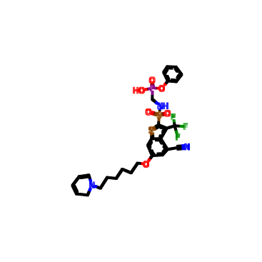 N#Cc1cc(OCCCCCCN2C=CC=CC2)cc2sc(S(=O)(=O)NCP(=O)(O)Oc3ccccc3)c(C(F)(F)F)c12